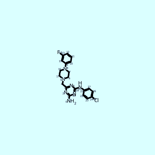 Nc1nc(CN2CCN(c3cccc(F)c3)CC2)nc(Nc2ccc(Cl)cc2)n1